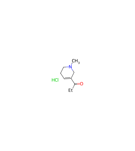 CCC(=O)C1=CCCN(C)C1.Cl